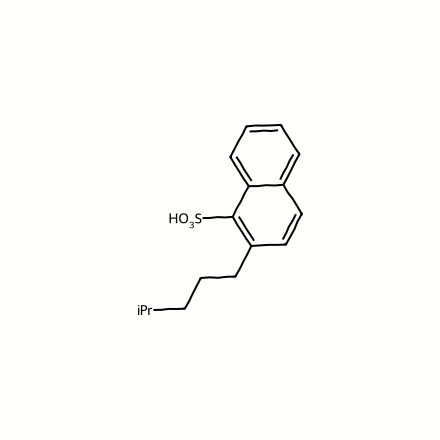 CC(C)CCCc1ccc2ccccc2c1S(=O)(=O)O